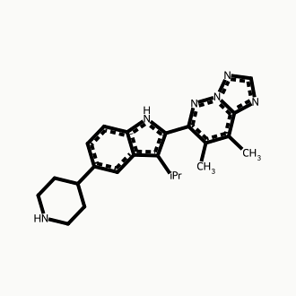 Cc1c(-c2[nH]c3ccc(C4CCNCC4)cc3c2C(C)C)nn2ncnc2c1C